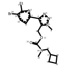 CCc1nc(-c2nnn(C)c2COC(=O)N(C)CC2CCC2)ccc1Br